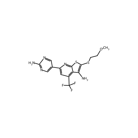 COCCSc1sc2nc(-c3cnc(N)nc3)cc(C(F)(F)F)c2c1N